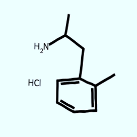 Cc1ccccc1CC(C)N.Cl